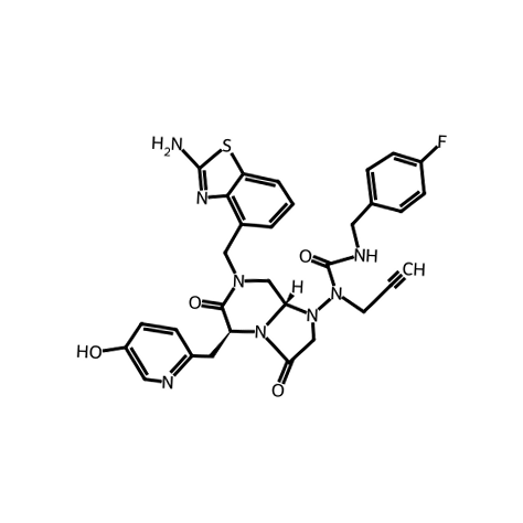 C#CCN(C(=O)NCc1ccc(F)cc1)N1CC(=O)N2[C@@H](Cc3ccc(O)cn3)C(=O)N(Cc3cccc4sc(N)nc34)C[C@@H]21